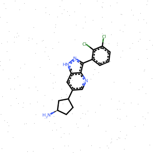 N[C@@H]1CCC(c2cnc3c(-c4cccc(Cl)c4Cl)n[nH]c3c2)C1